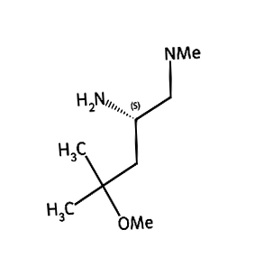 CNC[C@@H](N)CC(C)(C)OC